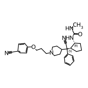 CNC(=O)N[C@@H]1CCC[C@H]1C(C#N)(c1ccccc1)C1CCN(CCCOc2ccc(C#N)cc2)CC1